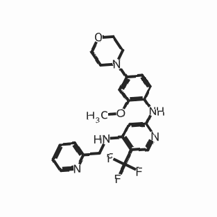 COc1cc(N2CCOCC2)ccc1Nc1cc(NCc2ccccn2)c(C(F)(F)F)cn1